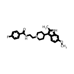 COc1ccc2c(C3CCN(CCNC(=O)c4ccc(F)cc4)CC3)c(C)[nH]c2c1